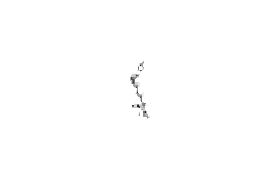 COc1ccc(CC2OCC(C)(C)[C@H](C(=O)NCCC(=O)NCCSC(=O)[C@H](CC(=O)OC(C)(C)C)NC(=O)OC(C)(C)C)O2)cc1